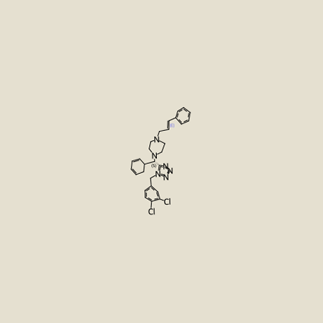 Clc1ccc(Cn2nnnc2[C@H](C2C=CC=CC2)N2CCN(C/C=C/c3ccccc3)CC2)cc1Cl